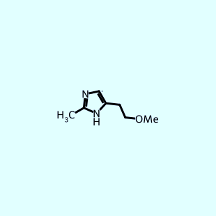 COCCc1[c]nc(C)[nH]1